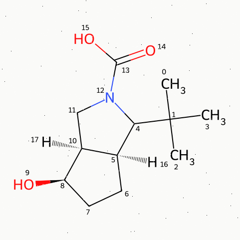 CC(C)(C)C1[C@H]2CC[C@@H](O)[C@H]2CN1C(=O)O